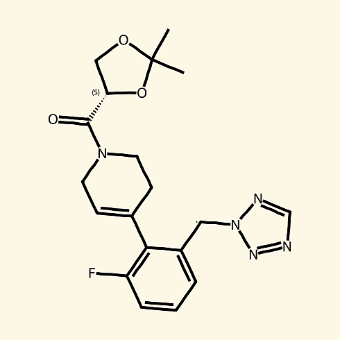 CC1(C)OC[C@@H](C(=O)N2CC=C(c3c(F)cccc3[CH]n3ncnn3)CC2)O1